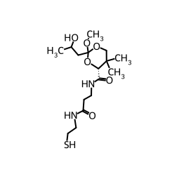 COC1(CC(C)O)OCC(C)(C)[C@H](C(=O)NCCC(=O)NCCS)O1